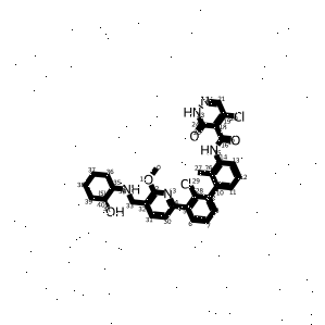 COc1nc(-c2cccc(-c3cccc(NC(=O)c4c(Cl)cn[nH]c4=O)c3C)c2Cl)ccc1CNC1CCCC[C@@H]1O